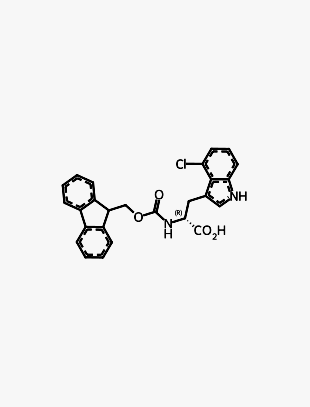 O=C(N[C@H](Cc1c[nH]c2cccc(Cl)c12)C(=O)O)OCC1c2ccccc2-c2ccccc21